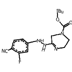 CC(C)(C)OC(=O)N1CCN=C(NNc2ccc(C#N)c(F)c2)C1